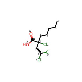 CCCCCC(Cl)(C=C(Cl)Cl)C(=O)O